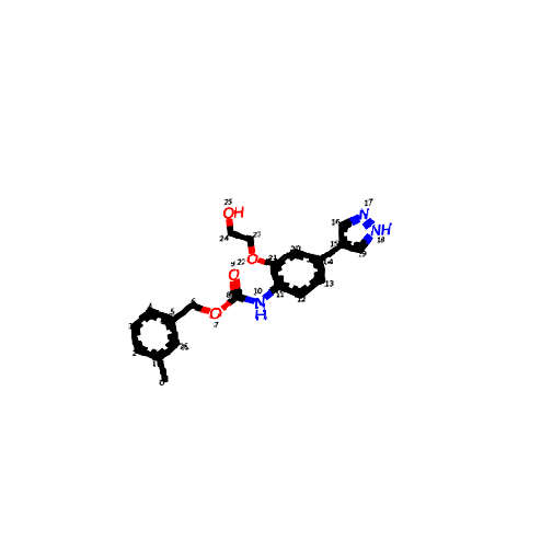 Cc1cccc(COC(=O)Nc2ccc(-c3cn[nH]c3)cc2OCCO)c1